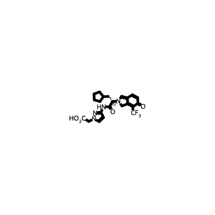 O=C(O)Cn1ccc(NC(=O)[C@H](CC2CCCC2)N2C=C3C=CC(=O)C(C(F)(F)F)=C3C2)n1